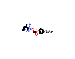 COC1=CC=C(OC(=O)COc2nc3nc(C)cc(C)c3[nH]2)CC1